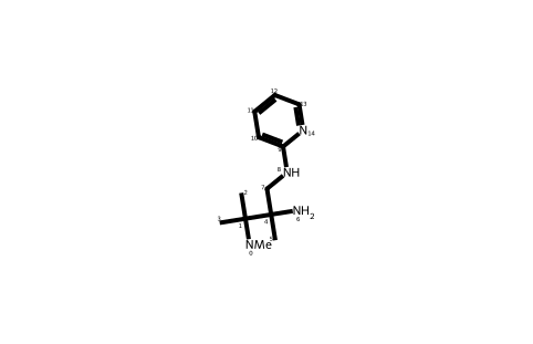 CNC(C)(C)C(C)(N)CNc1ccccn1